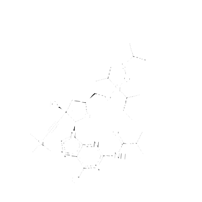 CCC(C)[Si](OC[C@@H]1C[C@@](O)(C#C[Si](C)(C)C)[C@H](n2cnc3c(Cl)nc(NC(=O)C(C)C)nc32)O1)(OSC(C)C)C(C)C